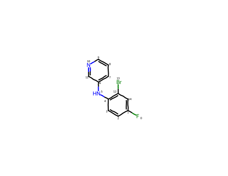 Fc1ccc(Nc2cccnc2)c(Br)c1